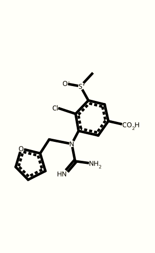 C[S+]([O-])c1cc(C(=O)O)cc(N(Cc2ccco2)C(=N)N)c1Cl